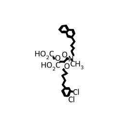 CN(CCCCCc1ccc2ccccc2c1)C(=O)[C@H](OCCCCCc1ccc(Cl)c(Cl)c1)[C@@H](OCC(=O)O)C(=O)O